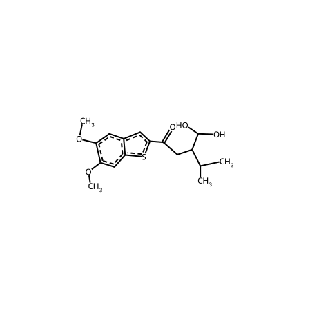 COc1cc2cc(C(=O)CC(C(C)C)C(O)O)sc2cc1OC